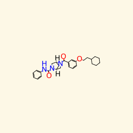 O=C(Nc1ccccc1)N1C[C@@H]2C[C@H]1CN2C(=O)c1cccc(OCCC2CCCCC2)c1